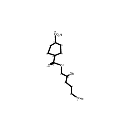 CCCCCCCCCCCCCC(O)COC(=O)C1CCC(C(=O)O)CC1